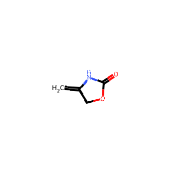 C=C1COC(=O)N1